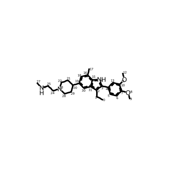 CCc1c(-c2ccc(OC)c(OC)c2)[nH]c2c(C)cc(C3CCN(CCNC)CC3)cc12